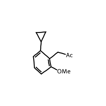 COc1cccc(C2CC2)c1CC(C)=O